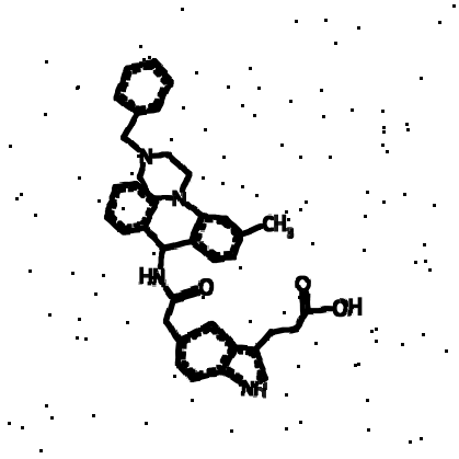 Cc1ccc(C(NC(=O)Cc2ccc3[nH]cc(CCC(=O)O)c3c2)c2ccccc2)c(N2CCN(Cc3ccccc3)CC2)c1